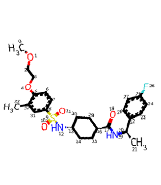 COCCOc1ccc(S(=O)(=O)N[C@H]2CC[C@H](C(=O)N[C@H](C)c3ccc(F)cc3)CC2)cc1C